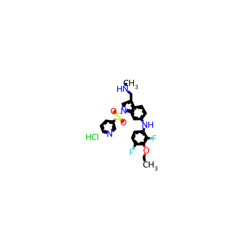 CCOc1c(F)ccc(Nc2ccc3c(CNC)cn(S(=O)(=O)c4cccnc4)c3c2)c1F.Cl